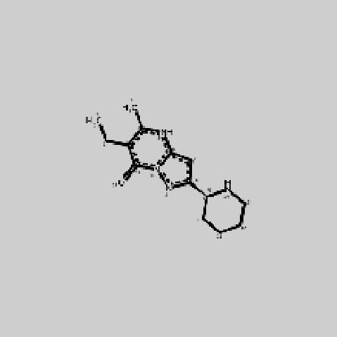 CCc1c(C)[nH]c2cc([C@@H]3CCCCN3)nn2c1=O